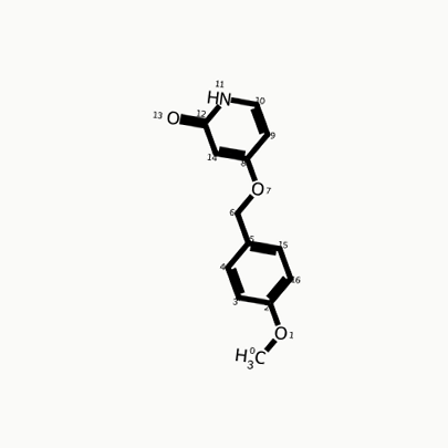 COc1ccc(COc2cc[nH]c(=O)c2)cc1